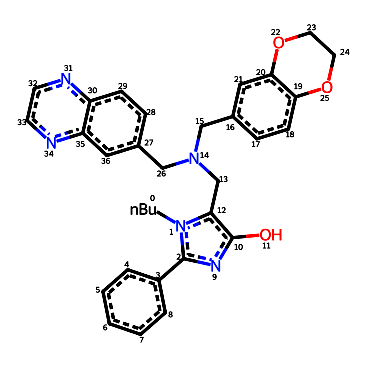 CCCCn1c(-c2ccccc2)nc(O)c1CN(Cc1ccc2c(c1)OCCO2)Cc1ccc2nccnc2c1